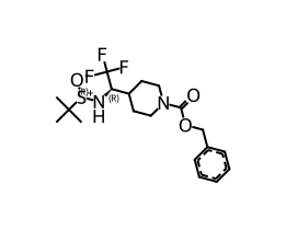 CC(C)(C)[S@+]([O-])N[C@H](C1CCN(C(=O)OCc2ccccc2)CC1)C(F)(F)F